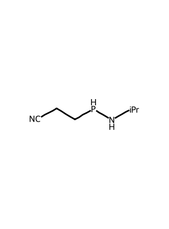 CC(C)NPCCC#N